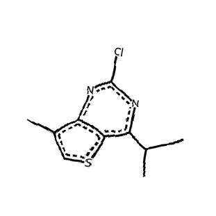 Cc1csc2c(C(C)C)nc(Cl)nc12